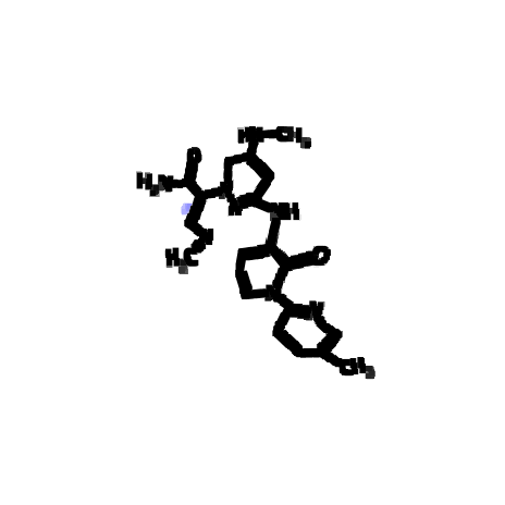 C=N/C=C(/C(N)=O)N1CC(NC)=CC(Nc2cccn(-c3ccc(C)cn3)c2=O)=N1